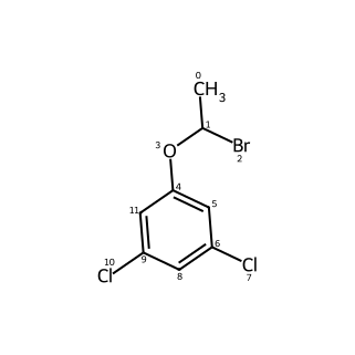 CC(Br)Oc1cc(Cl)cc(Cl)c1